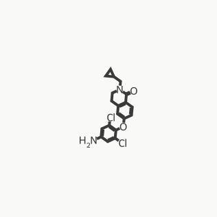 Nc1cc(Cl)c(Oc2ccc3c(c2)CCN(CC2CC2)C3=O)c(Cl)c1